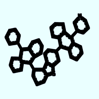 c1ccc(-c2c3ccccc3c(-c3cccc4sc5cc(-c6c7ccccc7c(-c7cccnc7)c7ccccc67)ccc5c34)c3ccccc23)cc1